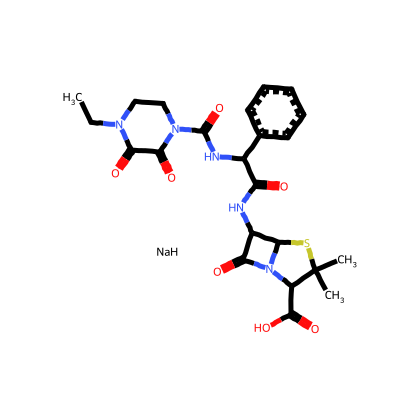 CCN1CCN(C(=O)NC(C(=O)NC2C(=O)N3C2SC(C)(C)C3C(=O)O)c2ccccc2)C(=O)C1=O.[NaH]